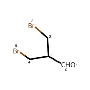 O=[C]C(CBr)CBr